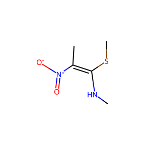 CNC(SC)=C(C)[N+](=O)[O-]